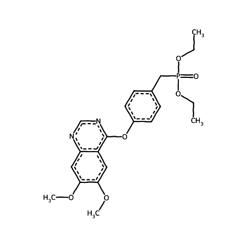 CCOP(=O)(Cc1ccc(Oc2ncnc3cc(OC)c(OC)cc23)cc1)OCC